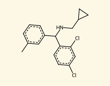 Cc1cccc(C(NCC2CC2)c2ccc(Cl)cc2Cl)c1